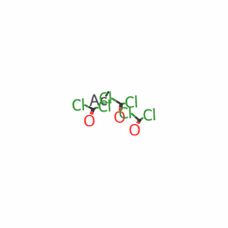 CC(C)=O.O=C(Cl)Cl.O=C(Cl)Cl.O=C(Cl)Cl